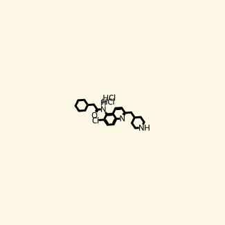 Cl.Cl.O=C(CC1CCCCC1)Nc1c(Cl)ccc2nc(CC3CCNCC3)ccc12